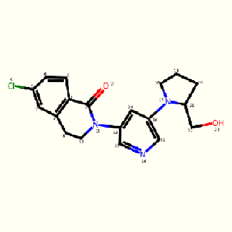 O=C1c2ccc(Cl)cc2CCN1c1cncc(N2CCCC2CO)c1